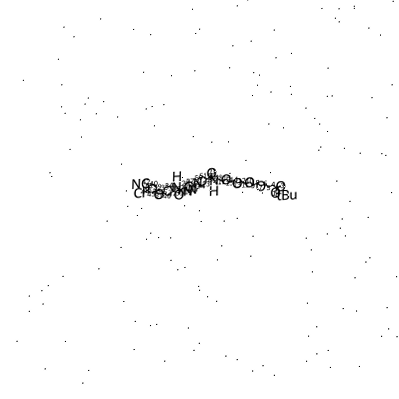 CC(C)(C)OC(=O)CCCOCCOCCOCCOCCNC(=O)C1CCN(c2ccc(C(=O)NC3CCC(Oc4ccc(C#N)c(Cl)c4)CC3)nn2)CC1